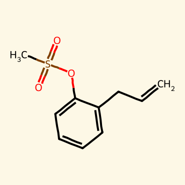 C=CCc1ccccc1OS(C)(=O)=O